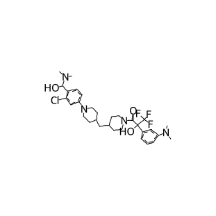 CN(C)c1cccc(C(O)(C(=O)N2CCC(CC3CCN(c4ccc(C(O)N(C)C)c(Cl)c4)CC3)CC2)C(F)(F)F)c1